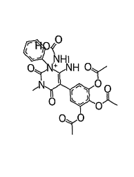 CNC1=C(c2cc(OC(C)=O)c(OC(C)=O)c(OC(C)=O)c2)C(=O)N(C)C(=O)[N+]1(NC(=O)O)c1ccccc1